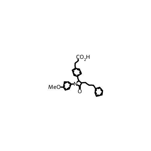 COc1ccc(N2C(=O)C(CCCc3ccccc3)C2c2ccc(CCC(=O)O)cc2)cc1